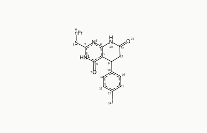 CCCSc1nc2c(c(=O)[nH]1)C(c1ccc(I)cc1)CC(=O)N2